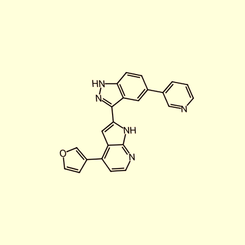 c1cncc(-c2ccc3[nH]nc(-c4cc5c(-c6ccoc6)ccnc5[nH]4)c3c2)c1